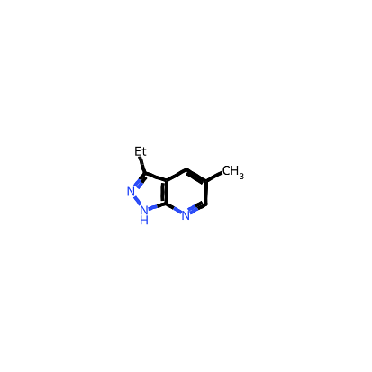 CCc1n[nH]c2ncc(C)cc12